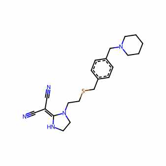 N#CC(C#N)=C1NCCN1CCSCc1ccc(CN2CCCCC2)cc1